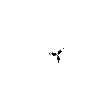 [O]=[Sr](=[O])=[O]